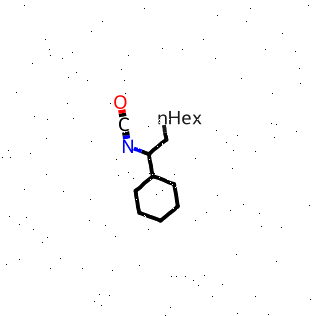 CCCCCCCC(N=C=O)C1CCCCC1